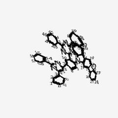 c1ccc(-c2cc(-c3ccc(-n4c5ccccc5c5cc6oc7ccccc7c6cc54)c(-c4nc(-c5ccccc5)nc(-c5ccccc5)n4)c3)nc(-c3ccccc3)n2)cc1